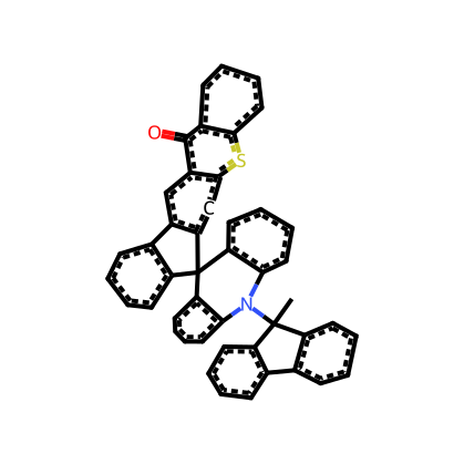 CC1(N2c3ccccc3C3(c4ccccc4-c4cc5c(=O)c6ccccc6sc5cc43)c3ccccc32)c2ccccc2-c2ccccc21